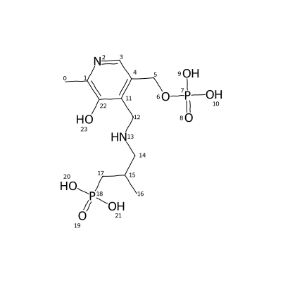 Cc1ncc(COP(=O)(O)O)c(CNCC(C)CP(=O)(O)O)c1O